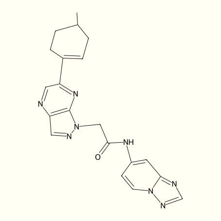 CC1CC=C(c2cnc3cnn(CC(=O)Nc4ccn5ncnc5c4)c3n2)CC1